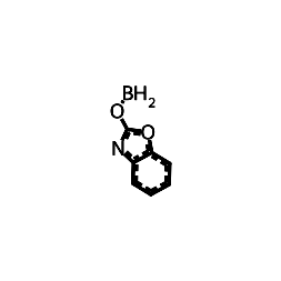 BOc1nc2ccccc2o1